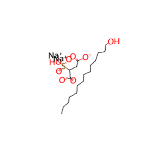 CCCCCCCCCCCCCCO.O=C([O-])CC(C(=O)[O-])S(=O)(=O)O.[Na+].[Na+]